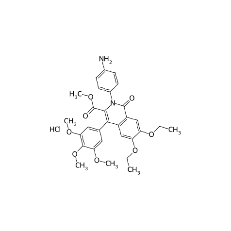 CCOc1cc2c(-c3cc(OC)c(OC)c(OC)c3)c(C(=O)OC)n(-c3ccc(N)cc3)c(=O)c2cc1OCC.Cl